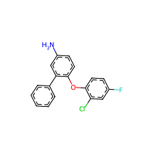 Nc1ccc(Oc2ccc(F)cc2Cl)c(-c2ccccc2)c1